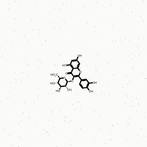 O=C(O)[C@H]1O[C@@H](Oc2c(-c3ccc(O)c(O)c3)oc3cc(O)cc(O)c3c2=O)[C@H](O)[C@@H](O)[C@@H]1O